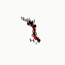 CNC(C)C(=O)N[C@H](C(=O)N1CCCC1c1nc(-c2ccc(OCCOCCOCCOc3cc4ccn(-c5cc6c(N)cccc6cn5)c4cn3)c3ccccc23)cs1)C1CCCCC1